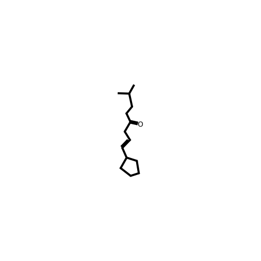 CC(C)CCC(=O)CC=CC1CCCC1